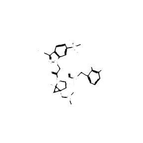 CC(=O)c1nn(CC(=O)N2[C@H]3[C@@H](C)[C@@]3(CN(C)C)C[C@H]2C(=O)NCc2cccc(Cl)c2F)c2cc(P(C)(=O)O)ccc12